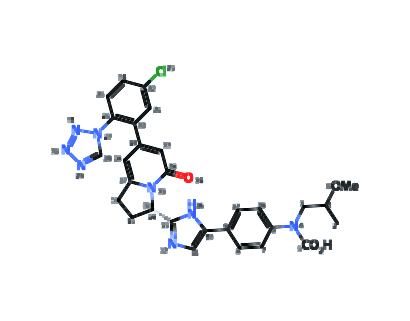 COC(C)CN(C(=O)O)c1ccc(-c2cnc([C@@H]3CCc4cc(-c5cc(Cl)ccc5-n5cnnn5)cc(=O)n43)[nH]2)cc1